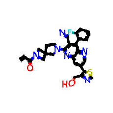 C=CC(=O)N1CC2(CCN(c3nc4cc(-c5scnc5CO)cnc4c(-c4ccccc4F)c3C#N)C2)C1